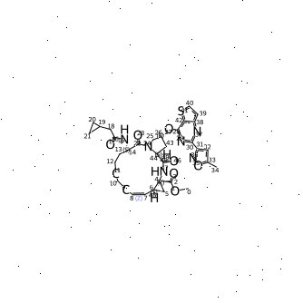 COC(=O)[C@@]12C[C@H]1/C=C\CCCCC[C@H](NC(=O)CC1CC1)C(=O)N1C[C@H](Oc3nc(-c4cc(C)on4)nc4ccsc34)C[C@H]1C(=O)N2